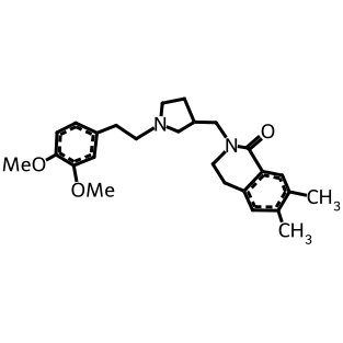 COc1ccc(CCN2CCC(CN3CCc4cc(C)c(C)cc4C3=O)C2)cc1OC